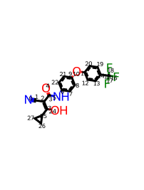 N#CC(C(=O)Nc1ccc(Oc2ccc(C(F)(F)F)cc2)cc1)=C(O)C1CC1